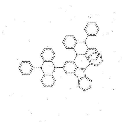 c1ccc(N2c3ccccc3N(c3cc(N4c5ccccc5N(c5ccccc5)c5ccccc54)c4c(c3)c3ccccc3n4-c3ccccc3)c3ccccc32)cc1